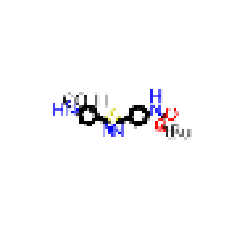 CC(C)(C)OC(=O)NC1CCC(c2nnc(C3CCC(NC(=O)O)CC3)s2)CC1